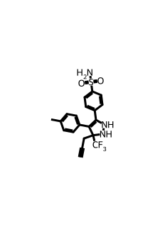 C#CCC1(C(F)(F)F)NNC(c2ccc(S(N)(=O)=O)cc2)=C1c1ccc(C)cc1